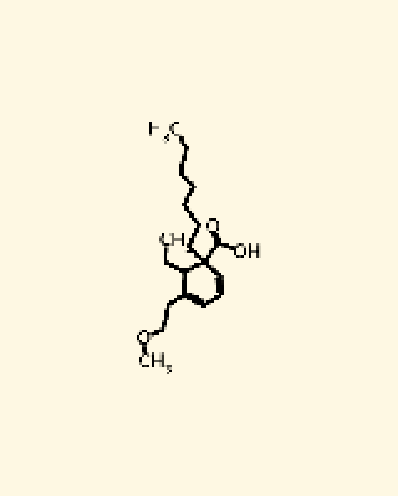 CCCCCCCC1(C(=O)O)C=CC=C(CCOC)C1CC